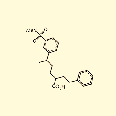 CNS(=O)(=O)c1cccc(C(C)CCC(CCc2ccccc2)C(=O)O)c1